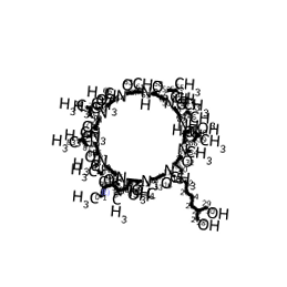 C/C=C/C[C@@H](C)[C@@H](O)[C@H]1C(=O)N[C@@H](CC)C(=O)N(C)[C@H](CSCCCCC(CO)CO)C(=O)N(C)[C@@H](CC(C)(C)O)C(=O)N[C@@H](C(C)C)C(=O)N(C)[C@@H](CC(C)C)C(=O)N[C@@H](C)C(=O)N[C@H](C)C(=O)N(C)[C@@H](CC(C)C)C(=O)N(C)[C@@H](CC(C)C)C(=O)N(C)[C@@H](C(C)C)C(=O)N1C